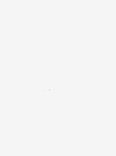 C=C(C)C1CCC(C)CC1OC(C)=O